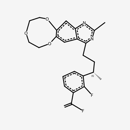 C=C(F)c1cccc([C@@H](C)CCc2nc(C)nc3cc4c(cc23)OCCOCCO4)c1F